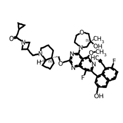 C#Cc1c(F)ccc2cc(O)cc(-c3nc(OC)c4c(N5CCOC[C@@](C)(O)C5)nc(OC[C@]56CCC[C@H]5N(CC5CN(C(=O)C7CC7)C5)CCC6)nc4c3F)c12